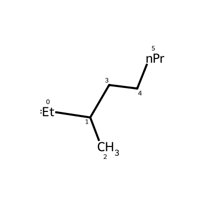 C[C]C(C)CCCCC